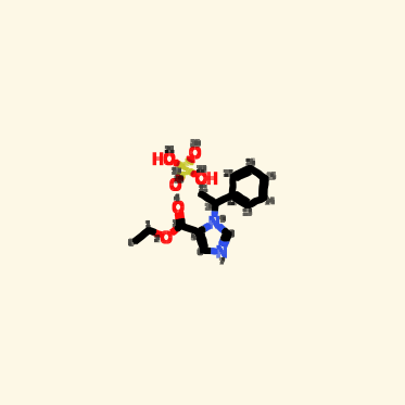 CCOC(=O)c1cncn1C(C)c1ccccc1.O=S(=O)(O)O